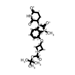 Cn1c(=O)n(C2CCC(=O)NC2=O)c2cccc(OC3CN(C(=O)OC(C)(C)C)C3)c21